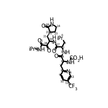 CC(C)CC(NC(=O)C(Cc1ccc(C(F)(F)F)cn1)NC(=O)O)C(=O)NC(C[C@@H]1CCNC1=O)C(=O)C(=O)NC(C)C